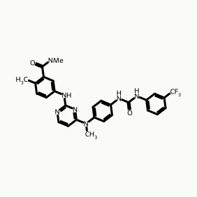 CNC(=O)c1cc(Nc2nccc(N(C)c3ccc(NC(=O)Nc4cccc(C(F)(F)F)c4)cc3)n2)ccc1C